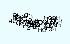 C[C@H](CCC(=O)[C@@H](C)[C@H]1C(=O)C[C@H]2[C@@H]3CC=C4CC(O[C@@H]5OC(CO)[C@@H](O)C(O)[C@@H]5O[C@@H]5OC(O)[C@H](O)C(O)[C@@H]5O)CC[C@]4(C)[C@H]3CC[C@]12C)CO[C@@H]1OC(OO)[C@@H](O)C(O)[C@@H]1O